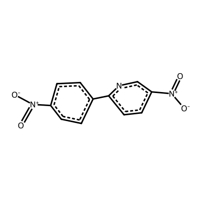 O=[N+]([O-])c1ccc(-c2ccc([N+](=O)[O-])cn2)cc1